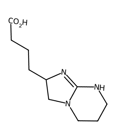 O=C(O)CCCC1CN2CCCNC2=N1